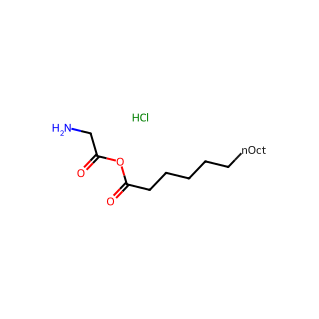 CCCCCCCCCCCCCC(=O)OC(=O)CN.Cl